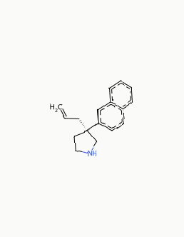 C=CC[C@@]1(c2ccc3ccccc3c2)CCNC1